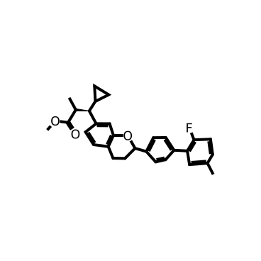 COC(=O)C(C)[C@H](c1ccc2c(c1)OC(c1ccc(-c3cc(C)ccc3F)cc1)CC2)C1CC1